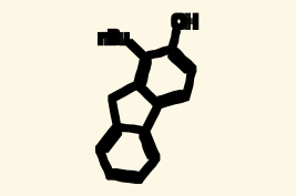 CCCCc1c(O)ccc2c1Cc1ccccc1-2